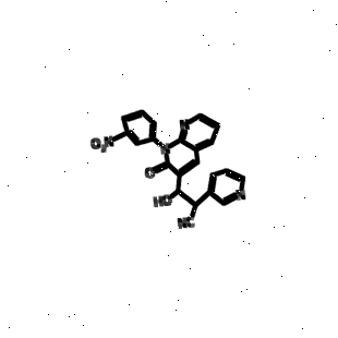 N#CC(c1cccnc1)C(O)c1cc2cccnc2n(-c2cccc([N+](=O)[O-])c2)c1=O